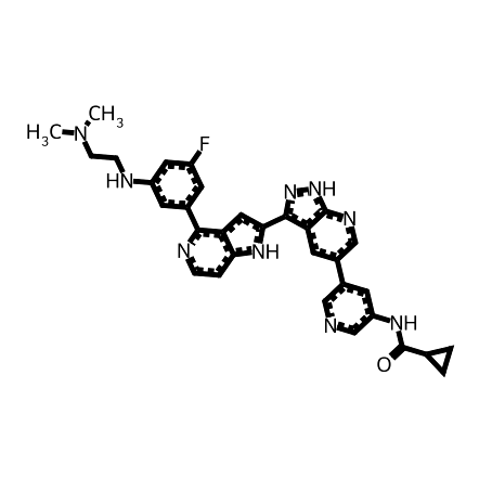 CN(C)CCNc1cc(F)cc(-c2nccc3[nH]c(-c4n[nH]c5ncc(-c6cncc(NC(=O)C7CC7)c6)cc45)cc23)c1